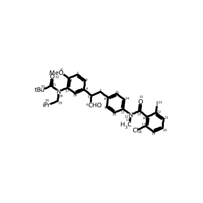 COc1ccc(C(C=O)Cc2ccc(N(C)C(=O)c3c(Cl)cccc3I)cc2)cc1N(CC(C)C)C(=O)C(C)(C)C